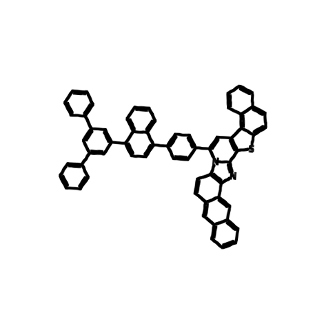 c1ccc(-c2cc(-c3ccccc3)cc(-c3ccc(-c4ccc(-c5cc6c(sc7ccc8ccccc8c76)c6nc7c8cc9ccccc9cc8ccc7n56)cc4)c4ccccc34)c2)cc1